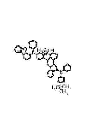 C[Si](C)(C)c1ccc(N(c2ccccc2)c2cc3c4cccc5c4c(cc3c3ccccc23)-c2ccc(N(c3ccccc3)c3cccc4c3oc3ccccc34)cc2[Si]5(C)C)cc1